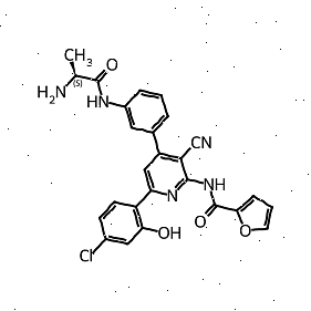 C[C@H](N)C(=O)Nc1cccc(-c2cc(-c3ccc(Cl)cc3O)nc(NC(=O)c3ccco3)c2C#N)c1